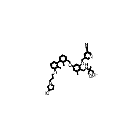 Cc1cc(OCc2cccc(-c3cccc(OCCCN4CCC(O)C4)c3C)c2C)cc(OCc2cncc(C#N)c2)c1CNC(C)(CO)CO